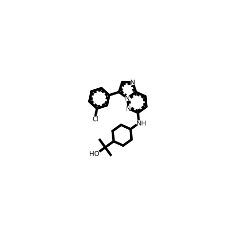 CC(C)(O)C1CCC(Nc2ccc3ncc(-c4cccc(Cl)c4)n3n2)CC1